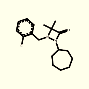 CC1(C)C(=O)N(C2CCCCCC2)N1Cc1ccccc1Cl